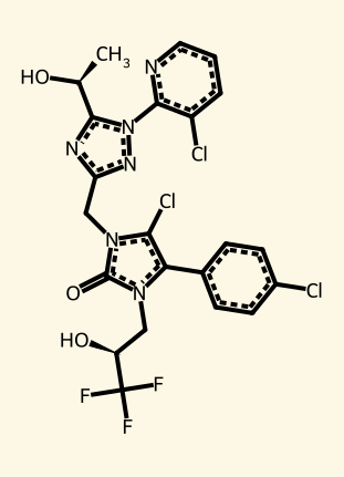 C[C@H](O)c1nc(Cn2c(Cl)c(-c3ccc(Cl)cc3)n(C[C@H](O)C(F)(F)F)c2=O)nn1-c1ncccc1Cl